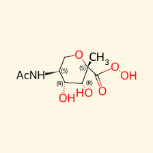 CC(=O)N[C@H]1CO[C@](C)(C(=O)OO)[C@H](O)[C@@H]1O